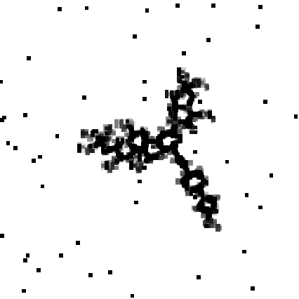 CC(=O)c1c(NN(C)C(=O)OC(C)(C)C)nc(C)nc1-c1cc(C#Cc2cnc(-n3cnc(C)c3)nc2)nc(NC(=O)C(C)N(CC(C)(C)C)C(=O)O)c1